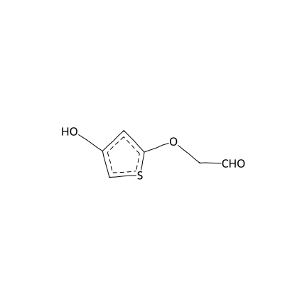 O=CCOc1cc(O)cs1